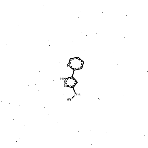 CC(C)Nc1cc(-c2ccccn2)[nH]n1